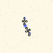 c1cncc(-c2c3ccccc3c(-c3ccc4nn(-c5ccc(-c6c7ccccc7c(-c7cnc8ccccc8c7)c7ccccc67)cc5)nc4c3)c3ccccc23)c1